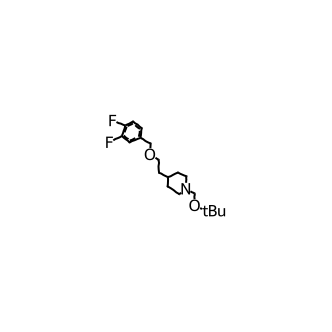 CC(C)(C)OCN1CCC(CCOCc2ccc(F)c(F)c2)CC1